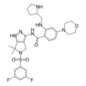 CC1(C)c2[nH]nc(NC(=O)c3ccc(N4CCOCC4)cc3NCC3CCCN3)c2CN1S(=O)(=O)c1cc(F)cc(F)c1